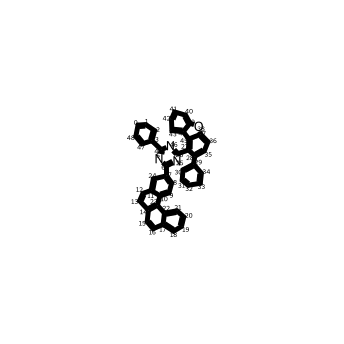 c1ccc(-c2nc(-c3ccc4c(ccc5ccc6ccccc6c54)c3)nc(-c3c(-c4ccccc4)ccc4oc5ccccc5c34)n2)cc1